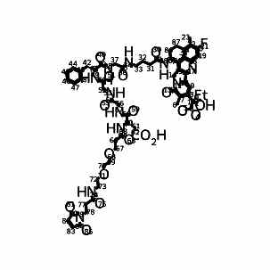 CC[C@@]1(O)C(=O)OCc2c1cc1n(c2=O)Cc2c-1nc1cc(F)c(C)c3c1c2[C@@H](NC(=O)CCCNC(=O)CNC(=O)[C@H](Cc1ccccc1)NC(=O)CNC(=O)CNC(=O)[C@H](CC(=O)O)NC(=O)CCOCCOCCNC(=O)CCN1C(=O)C=CC1=O)CC3